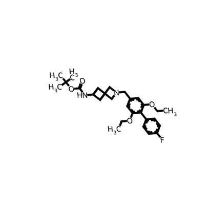 CCOc1cc(CN2CC3(CC(NC(=O)OC(C)(C)C)C3)C2)cc(OCC)c1-c1ccc(F)cc1